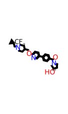 O=C(c1ccc(-c2ccc(OCC3CCN(CC4(C(F)(F)F)CC4)CC3)nc2)cc1)N1CC[C@H](O)C1